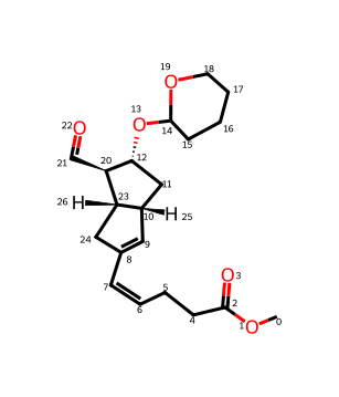 COC(=O)CC/C=C\C1=C[C@H]2C[C@@H](OC3CCCCO3)[C@H](C=O)[C@H]2C1